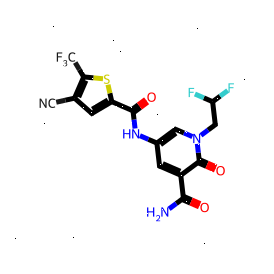 N#Cc1cc(C(=O)Nc2cc(C(N)=O)c(=O)n(CC(F)F)c2)sc1C(F)(F)F